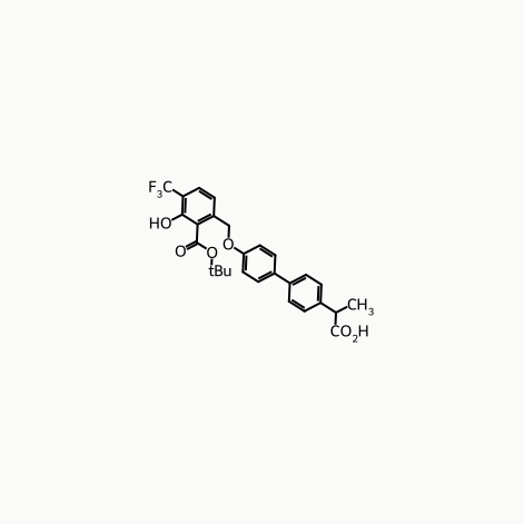 CC(C(=O)O)c1ccc(-c2ccc(OCc3ccc(C(F)(F)F)c(O)c3C(=O)OC(C)(C)C)cc2)cc1